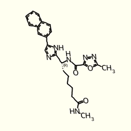 CNC(=O)CCCCC[C@@H](NC(=O)c1nnc(C)o1)c1ncc(-c2ccc3ccccc3c2)[nH]1